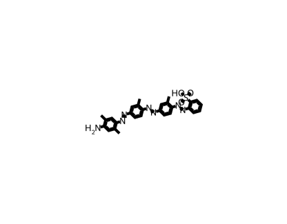 Cc1cc(N=Nc2ccc(N=Nc3ccc(N=Nc4ccccc4S(=O)(=O)O)c(C)c3)c(C)c2)c(C)cc1N